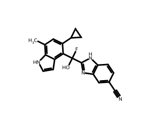 Cc1cc(C2CC2)c(C(O)(F)c2nc3cc(C#N)ccc3[nH]2)c2cc[nH]c12